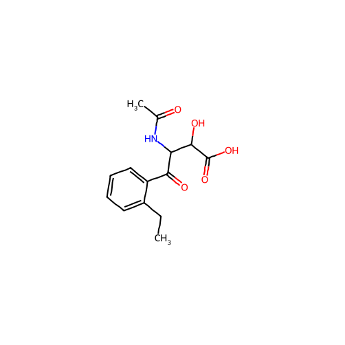 CCc1ccccc1C(=O)C(NC(C)=O)C(O)C(=O)O